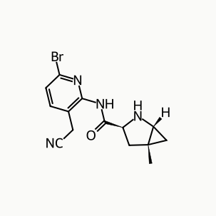 C[C@@]12C[C@@H](C(=O)Nc3nc(Br)ccc3CC#N)N[C@@H]1C2